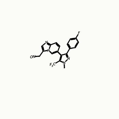 Cn1nc(-c2ccc(F)cc2)c(-c2ccc3ncc(CN=O)n3c2)c1C(F)(F)F